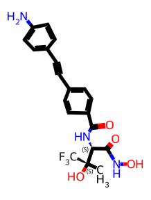 C[C@](O)([C@H](NC(=O)c1ccc(C#Cc2ccc(N)cc2)cc1)C(=O)NO)C(F)(F)F